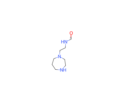 O=CNCCN1CCCNCC1